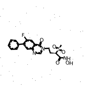 CS(=O)(=O)[C@H](CCn1cnc2cc(-c3ccccc3)c(F)cc2c1=O)C(=O)NO